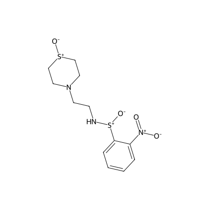 O=[N+]([O-])c1ccccc1[S+]([O-])NCCN1CC[S+]([O-])CC1